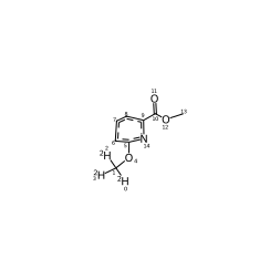 [2H]C([2H])([2H])Oc1cccc(C(=O)OC)n1